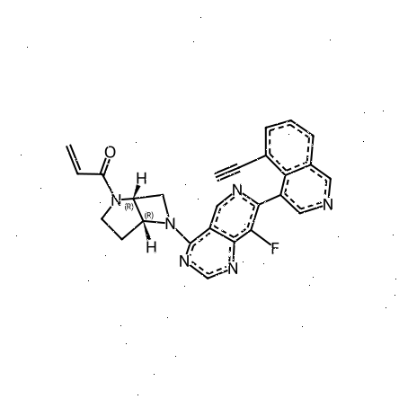 C#Cc1cccc2cncc(-c3ncc4c(N5C[C@@H]6[C@H]5CCN6C(=O)C=C)ncnc4c3F)c12